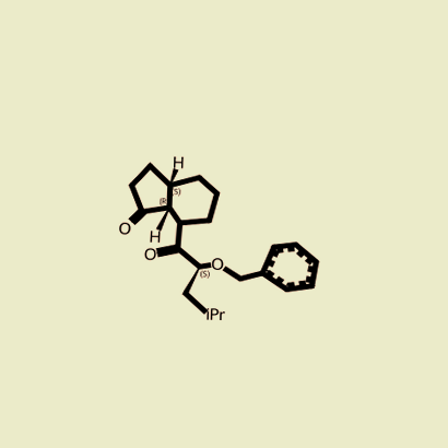 CC(C)C[C@H](OCc1ccccc1)C(=O)C1CCC[C@H]2CCC(=O)[C@@H]12